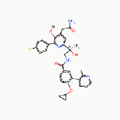 CCOc1c(CC(N)=O)cc([C@@](O)(CNC(=O)c2ccc(OC3CC3)c(-c3cccnc3C)c2)C(F)(F)F)nc1-c1ccc(F)cc1